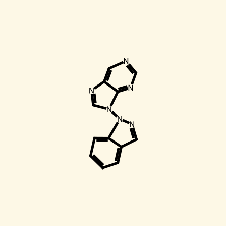 c1ccc2c(c1)cnn2-n1cnc2cncnc21